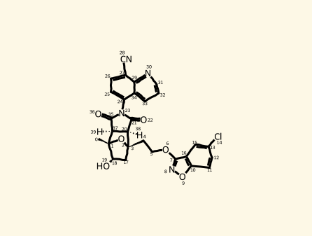 C[C@@]12O[C@@](CCOc3noc4ccc(Cl)cc34)(C[C@H]1O)[C@@H]1C(=O)N(c3ccc(C#N)c4ncccc34)C(=O)[C@@H]12